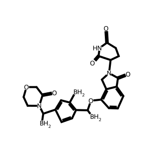 Bc1cc(C(B)N2CCOCC2=O)ccc1C(B)Oc1cccc2c1CN(C1CCC(=O)NC1=O)C2=O